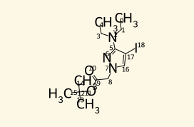 CCN(CC)c1nn(CC(=O)OC(C)(C)C)cc1I